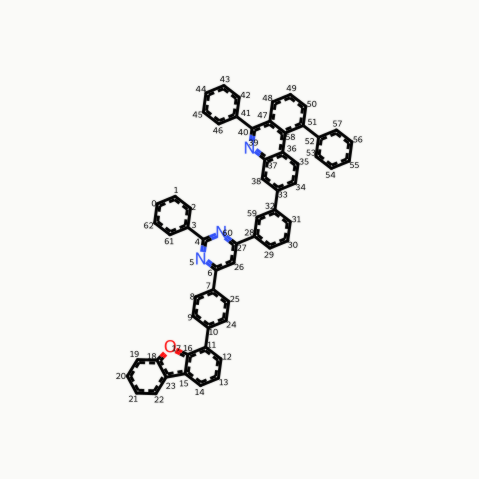 c1ccc(-c2nc(-c3ccc(-c4cccc5c4oc4ccccc45)cc3)cc(-c3cccc(-c4ccc5c(c4)nc(-c4ccccc4)c4cccc(-c6ccccc6)c45)c3)n2)cc1